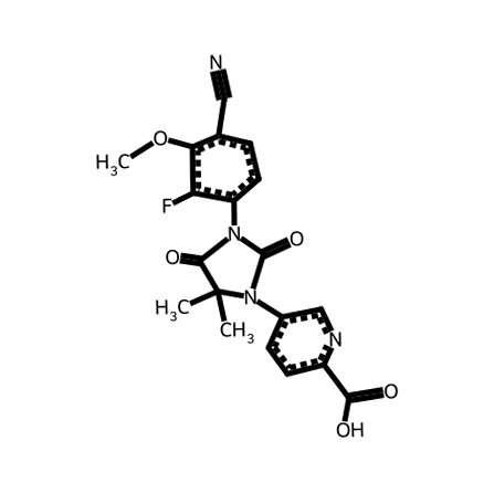 COc1c(C#N)ccc(N2C(=O)N(c3ccc(C(=O)O)nc3)C(C)(C)C2=O)c1F